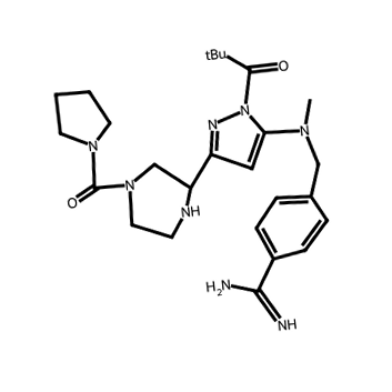 CN(Cc1ccc(C(=N)N)cc1)c1cc(C2CN(C(=O)N3CCCC3)CCN2)nn1C(=O)C(C)(C)C